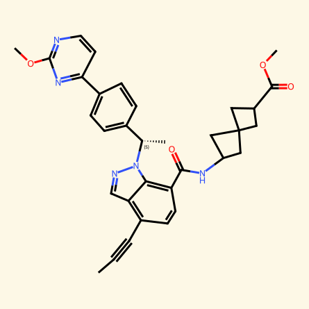 CC#Cc1ccc(C(=O)NC2CC3(C2)CC(C(=O)OC)C3)c2c1cnn2[C@@H](C)c1ccc(-c2ccnc(OC)n2)cc1